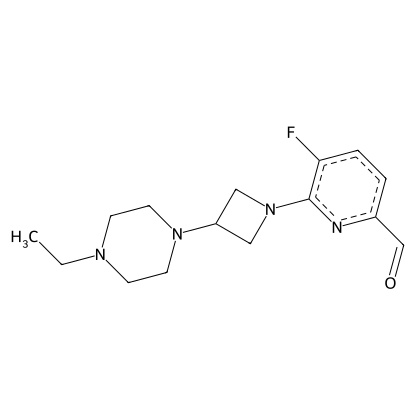 CCN1CCN(C2CN(c3nc(C=O)ccc3F)C2)CC1